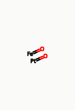 [O]=[Fe].[O]=[Pt]